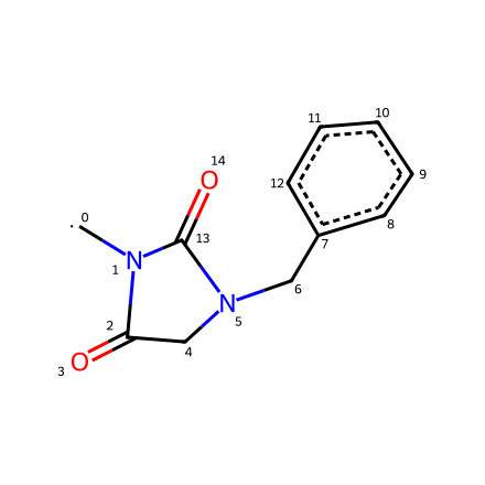 [CH2]N1C(=O)CN(Cc2ccccc2)C1=O